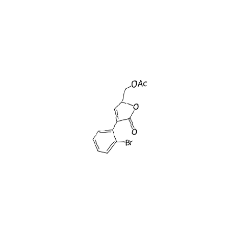 CC(=O)OCC1C=C(c2ccccc2Br)C(=O)O1